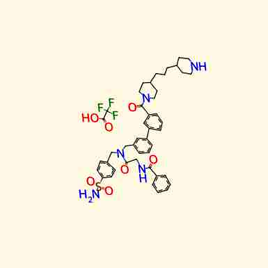 NS(=O)(=O)c1ccc(CN(Cc2cccc(-c3cccc(C(=O)N4CCC(CCCC5CCNCC5)CC4)c3)c2)C(=O)CNC(=O)c2ccccc2)cc1.O=C(O)C(F)(F)F